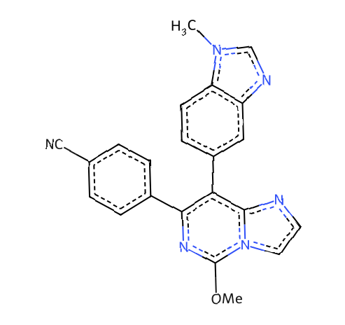 COc1nc(-c2ccc(C#N)cc2)c(-c2ccc3c(c2)ncn3C)c2nccn12